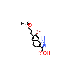 COCCCc1cc2c(cc1Br)-c1[nH]nc(C(=O)O)c1CC2